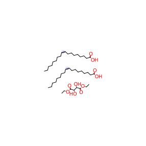 CCCCCCCC/C=C\CCCCCCCC(=O)O.CCCCCCCC/C=C\CCCCCCCC(=O)O.CCOC(=O)C(O)C(O)C(=O)OCC